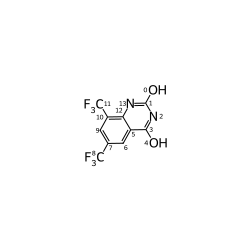 Oc1nc(O)c2cc(C(F)(F)F)cc(C(F)(F)F)c2n1